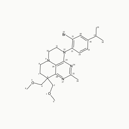 COCC1(COC)CCN2CCN(c3ccc(C(C)C)cc3Br)c3nc(C)nc1c32